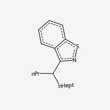 CCCCCCCC(CCC)c1nsc2ccccc12